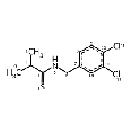 CC(C)C(=S)NCc1ccc(Cl)c(Cl)c1